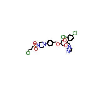 O=S(=O)(CCCCl)N1CCN(c2ccc(COC3COC(Cn4ccnc4)(c4ccc(Cl)cc4Cl)OC3)cc2)CC1